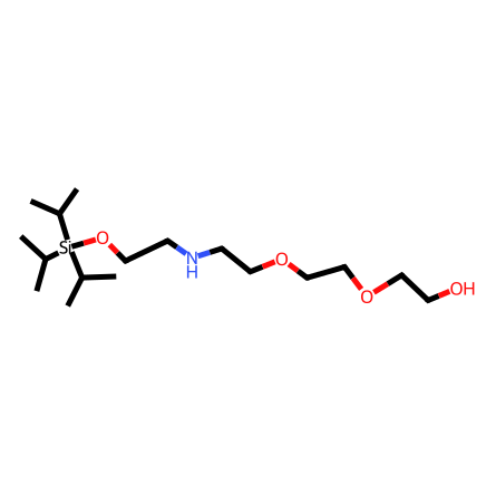 CC(C)[Si](OCCNCCOCCOCCO)(C(C)C)C(C)C